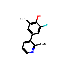 COc1ncccc1-c1cc(F)c(O)c(C=O)c1